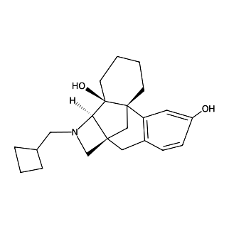 Oc1ccc2c(c1)[C@@]13CCCC[C@@]1(O)[C@@H]1N(CC4CCC4)C[C@]1(C2)C3